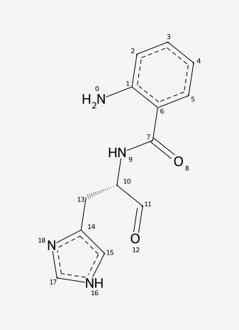 Nc1ccccc1C(=O)N[C@H](C=O)Cc1c[nH]cn1